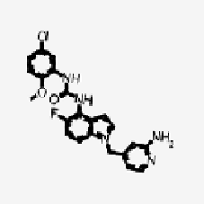 COc1ccc(Cl)cc1NC(=O)Nc1c(F)ccc2c1ccn2Cc1ccnc(N)c1